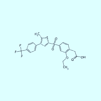 CCOc1cc(S(=O)(=O)c2cc(-c3ccc(C(F)(F)F)cc3)c(C)s2)ccc1CC(=O)O